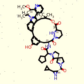 CCn1c(-c2cccnc2[C@H](C)OC)c2c3cc(ccc31)-c1cc(O)cc(c1)C[C@H](NC(=O)C(C1CCCC1)N1CC[C@]3(CCN(C(=O)[C@@H]4NC4C4CC4)C3)C1=O)C(=O)N1CCC[C@H](N1)C(=O)OCC(C)(C)C2